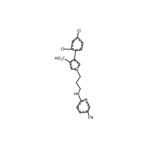 N#Cc1ccc(NCCCn2cc(C(=O)O)c(-c3ccc(Cl)cc3Cl)c2)nc1